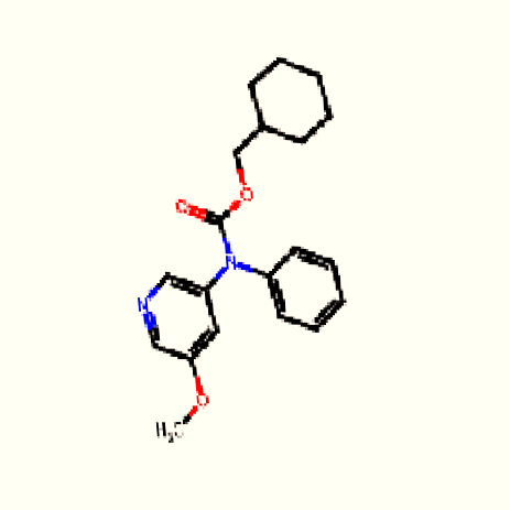 COc1cncc(N(C(=O)OCC2CCCCC2)c2ccccc2)c1